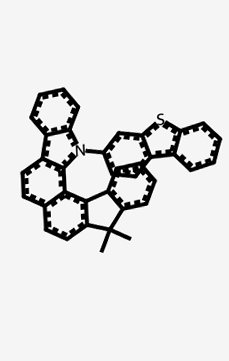 CC1(C)c2ccccc2-c2c1ccc1ccc3c4ccccc4n(-c4ccc5c(c4)sc4ccccc45)c3c21